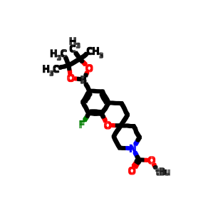 CC(C)(C)OC(=O)N1CCC2(CCc3cc(B4OC(C)(C)C(C)(C)O4)cc(F)c3O2)CC1